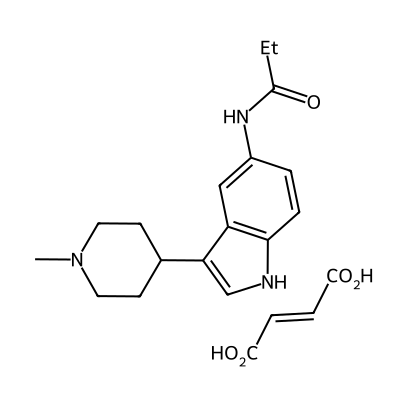 CCC(=O)Nc1ccc2[nH]cc(C3CCN(C)CC3)c2c1.O=C(O)C=CC(=O)O